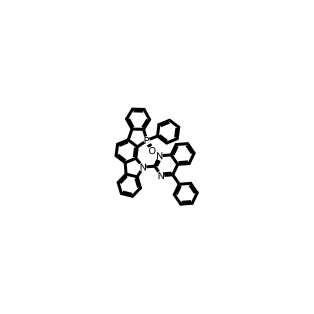 O=P1(c2ccccc2)c2ccccc2-c2ccc3c4ccccc4n(-c4nc(-c5ccccc5)c5ccccc5n4)c3c21